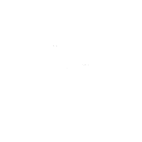 CNC1=C(c2cccc(OC)c2)C(=O)C(c2cccc3ccccc23)C1